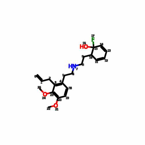 C=CCc1c(CCNCCC2C=CC=CC2(O)F)ccc(OC)c1OC